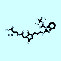 CC(C)(C)OC(=O)n1c(NCCCN2CC(=O)N(CC(=O)NC[C@H](N)C(=O)O)C2=O)nc2ccccc21